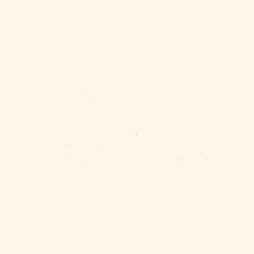 CCN(C(=O)c1cc(F)ccc1Oc1nncnc1N1CC2(CCN(Cc3ccc4[nH]c(C#N)c(C5=CCOCC5)c4c3C)CC2)C1)C(C)C